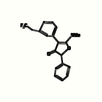 CNC1=C(c2cccc(CC(F)(F)F)c2)C(=O)C(c2ccccc2)O1